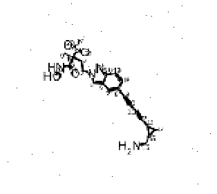 C[C@@](CCn1cc2cc(C#CC#CC3C[C@H]3CN)ccc2n1)(C(=O)NO)S(C)(=O)=O